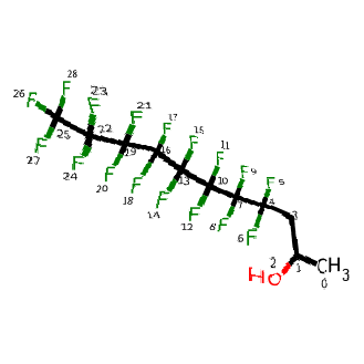 CC(O)CC(F)(F)C(F)(F)C(F)(F)C(F)(F)C(F)(F)C(F)(F)C(F)(F)C(F)(F)F